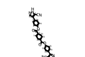 N#Cc1[nH]nnc1-c1ccc(OC(=O)c2ccc(C(=O)Oc3ccc(-c4nn[nH]c4C#N)cc3)cc2)cc1